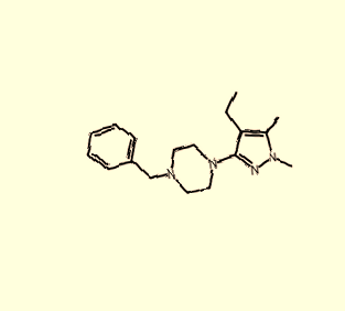 CCc1c(N2CCN(Cc3ccccc3)CC2)nn(C)c1C